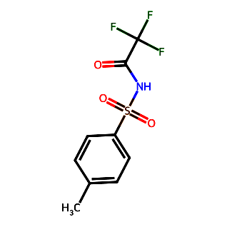 Cc1ccc(S(=O)(=O)NC(=O)C(F)(F)F)cc1